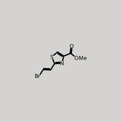 COC(=O)c1csc(/C=C/Br)n1